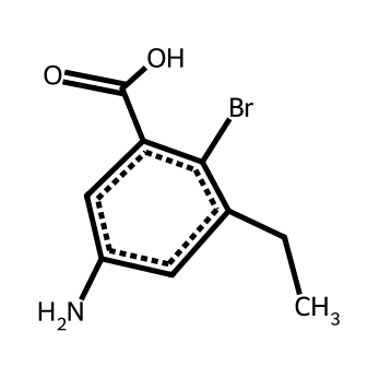 CCc1cc(N)cc(C(=O)O)c1Br